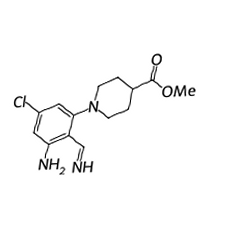 COC(=O)C1CCN(c2cc(Cl)cc(N)c2C=N)CC1